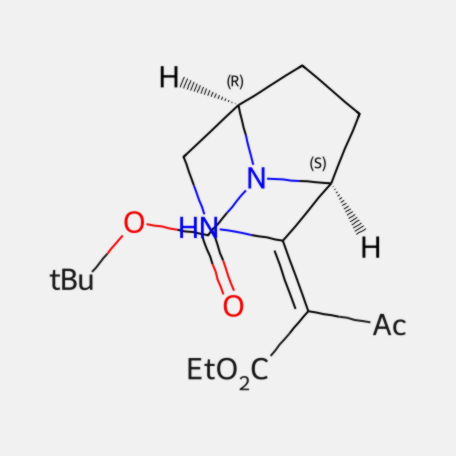 CCOC(=O)C(C(C)=O)=C1NC[C@H]2CC[C@@H]1N2C(=O)OC(C)(C)C